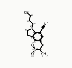 CC(Cc1cc(C#N)c2c(c1)CCN2CCCCl)[N+](=O)[O-]